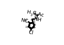 CC(=O)N(C)NCc1ccc(Cl)cc1C#N